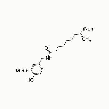 C=C(CCCCCCCCC)CCCCCCC(=O)NCc1ccc(O)c(OC)c1